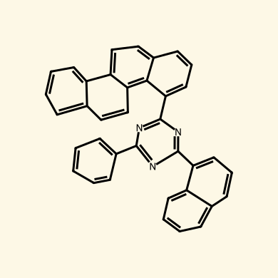 c1ccc(-c2nc(-c3cccc4ccccc34)nc(-c3cccc4ccc5c6ccccc6ccc5c34)n2)cc1